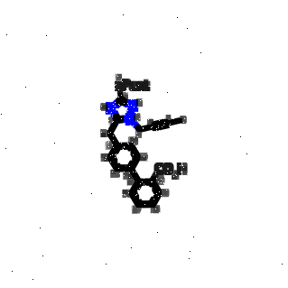 CC#CCn1nc(CCCCC)nc1Cc1ccc(-c2ccccc2C(=O)O)cc1